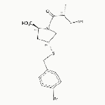 CC(C)c1ccc(CS[C@@H]2C[C@@H](C(=O)O)N(C(=O)[C@H](C)CS)C2)cc1